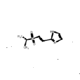 CC(C)S(=O)(=O)/C=C/c1ncc[nH]1